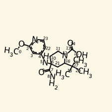 COc1cc(NC2(C(N)=O)CCN(C(=O)O)C(C(C)(C)C)C2)ccn1